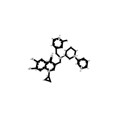 Cc1cc(CN(Cc2cn(C3CC3)c3cc(F)c(F)cc3c2=O)[C@H]2CCCN(c3cccnc3)C2)ccn1